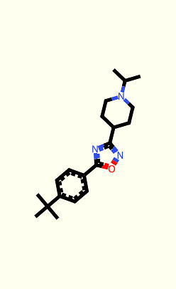 CC(C)N1CCC(c2noc(-c3ccc(C(C)(C)C)cc3)n2)CC1